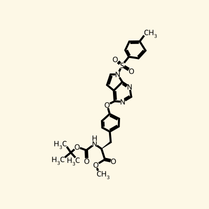 COC(=O)[C@H](Cc1ccc(Oc2ncnc3c2ccn3S(=O)(=O)c2ccc(C)cc2)cc1)NC(=O)OC(C)(C)C